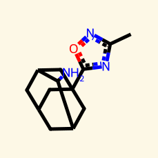 Cc1noc(C23CC4CC(C2)C(N)C(C4)C3)n1